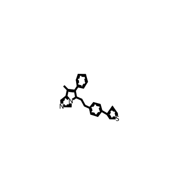 CC1=C(c2ccccc2)C(CCc2ccc(-c3ccsc3)cc2)n2cncc21